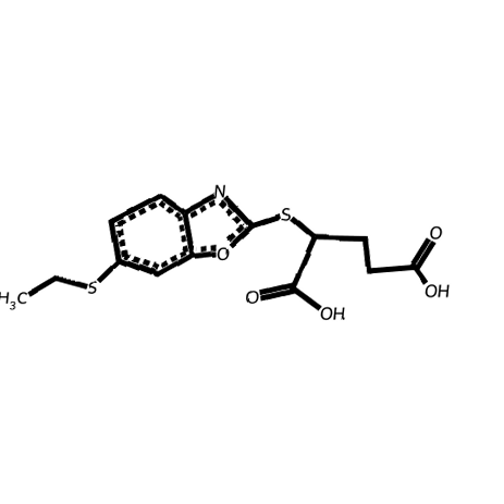 CCSc1ccc2nc(SC(CCC(=O)O)C(=O)O)oc2c1